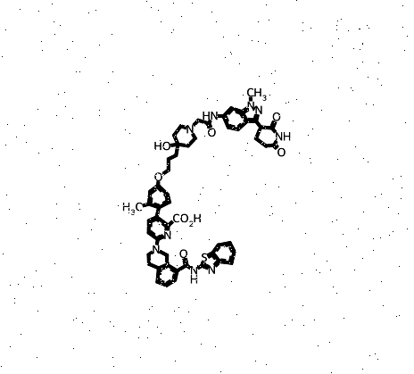 Cc1cc(OCCCC2(O)CCN(CC(=O)Nc3ccc4c(C5CCC(=O)NC5=O)nn(C)c4c3)CC2)ccc1-c1ccc(N2CCc3cccc(C(=O)Nc4nc5ccccc5s4)c3C2)nc1C(=O)O